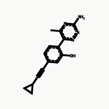 Cc1nc(N)nnc1-c1ccc(C#CC2CC2)cc1O